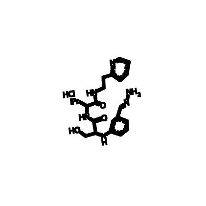 CC(C)C(NC(=O)C(CO)Nc1cccc(C=NN)c1)C(=O)NCCc1ccccn1.Cl